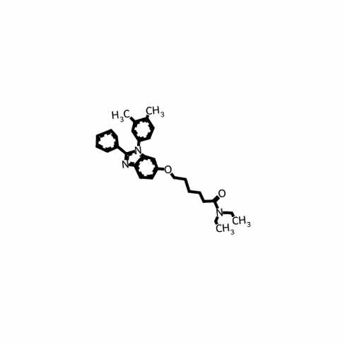 CCN(CC)C(=O)CCCCCOc1ccc2nc(-c3ccccc3)n(-c3ccc(C)c(C)c3)c2c1